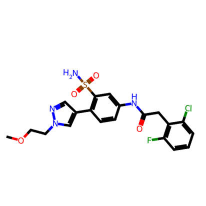 COCCn1cc(-c2ccc(NC(=O)Cc3c(F)cccc3Cl)cc2S(N)(=O)=O)cn1